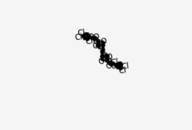 O=C(COc1cc(Cl)c(Cl)cc1Cl)OCN1C(=O)CN(CCN2CC(=O)N(COC(=O)COc3cc(Cl)c(Cl)cc3Cl)C(=O)C2)CC1=O